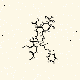 CCc1cc(OC)cc2c1C(C)(C)C1(C=Nc3c(cc(C(C)=O)c4cc(S(C)(=O)=O)c(C)cc34)O1)N2CCOc1ccccc1